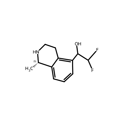 C[C@@H]1NCCc2c(C(O)C(F)F)cccc21